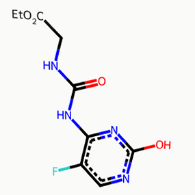 CCOC(=O)CNC(=O)Nc1nc(O)ncc1F